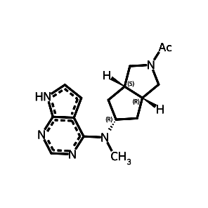 CC(=O)N1C[C@H]2C[C@@H](N(C)c3ncnc4[nH]ccc34)C[C@H]2C1